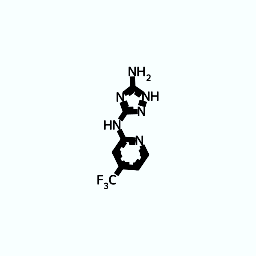 Nc1nc(Nc2cc(C(F)(F)F)ccn2)n[nH]1